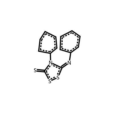 S=c1ss/c(=N/c2ccccc2)n1-c1ccccc1